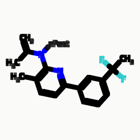 C=C(C)N(CCCCC)c1nc(-c2cccc(C(C)(F)F)c2)ccc1C